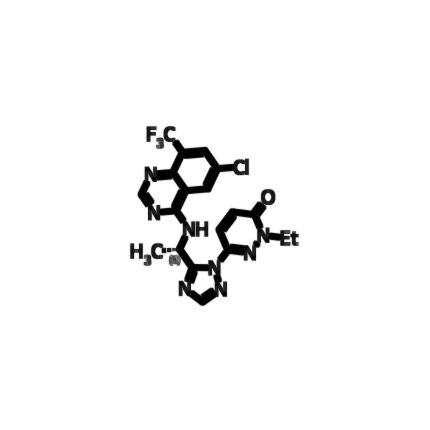 CCn1nc(-n2ncnc2[C@H](C)Nc2ncnc3c(C(F)(F)F)cc(Cl)cc23)ccc1=O